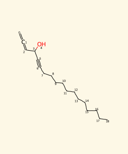 C=C=CC(O)C#CCCCCCCCCCCCC